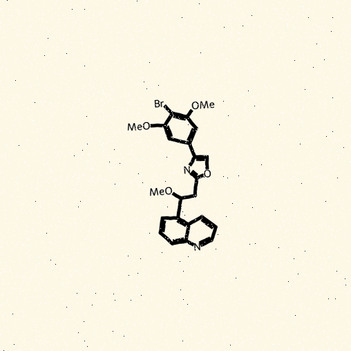 COc1cc(-c2coc(CC(OC)c3cccc4ncccc34)n2)cc(OC)c1Br